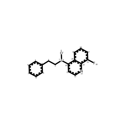 [O-][S+](CCc1ccccc1)c1ccnc2c(F)cccc12